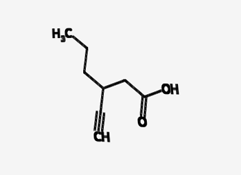 C#CC(CCC)CC(=O)O